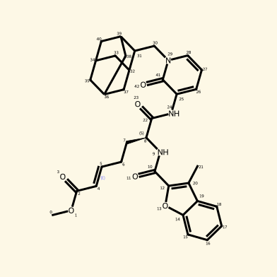 COC(=O)/C=C/CC[C@H](NC(=O)c1oc2ccccc2c1C)C(=O)Nc1cccn(CC2C3CC4CC(C3)CC2C4)c1=O